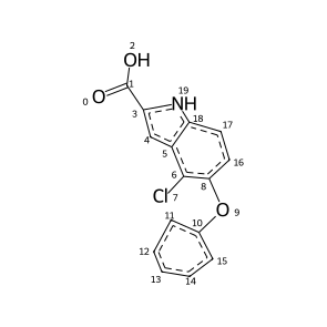 O=C(O)c1cc2c(Cl)c(Oc3ccccc3)ccc2[nH]1